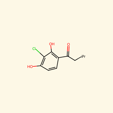 CC(C)CC(=O)c1ccc(O)c(Cl)c1O